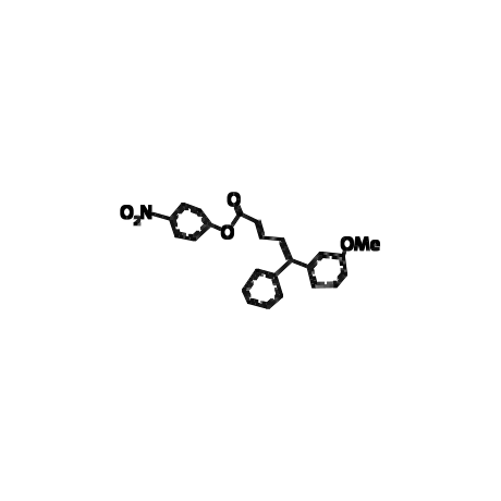 COc1cccc(C(=CC=CC(=O)Oc2ccc([N+](=O)[O-])cc2)c2ccccc2)c1